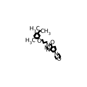 Cc1ccc(C(C)C)cc1OCCCn1nnc2cc(N3CCOCC3)ccc2c1=O